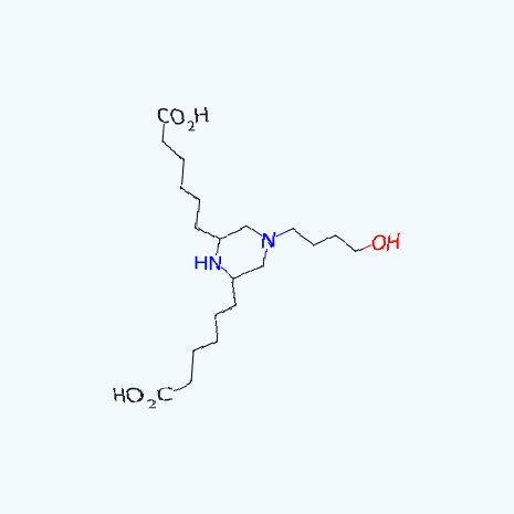 O=C(O)CCCCCC1CN(CCCCO)CC(CCCCCC(=O)O)N1